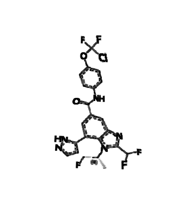 C[C@H](CF)n1c(C(F)F)nc2cc(C(=O)Nc3ccc(OC(F)(F)Cl)cc3)cc(-c3ccn[nH]3)c21